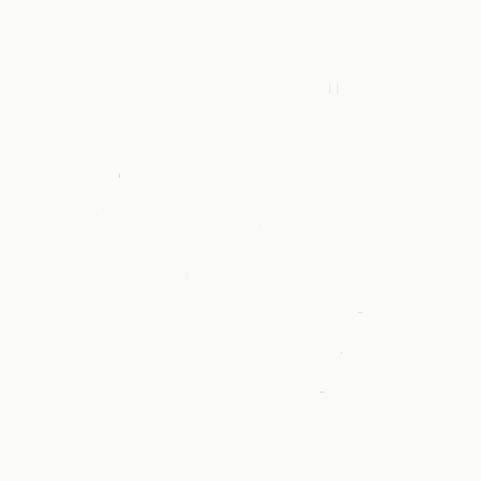 CCCCOc1cc(C(F)(F)F)ccc1OCC1CO1